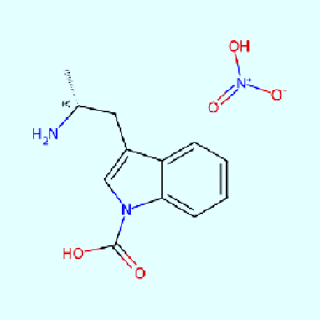 C[C@@H](N)Cc1cn(C(=O)O)c2ccccc12.O=[N+]([O-])O